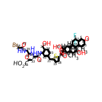 C[C@]12C=CC(=O)C=C1[C@@H](F)C[C@H]1[C@@H]3C[C@H]4O[C@@H](c5ccc(Cc6ccc(CO)c(NC(=O)[C@H](CCC(=O)O)NC(=O)CNC(=O)CBr)c6)s5)O[C@@]4(C(=O)CO)[C@@]3(C)C[C@H](O)[C@@]12F